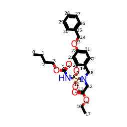 CCCCOC(=O)NS(=O)(=O)N(CC(=O)OCC)Cc1ccc(OCc2ccccc2)cc1